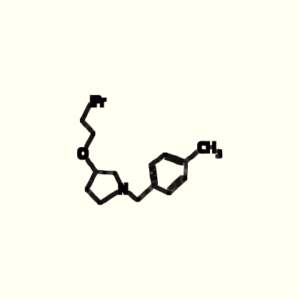 Cc1ccc(CN2CCC(OCCC(C)C)C2)cc1